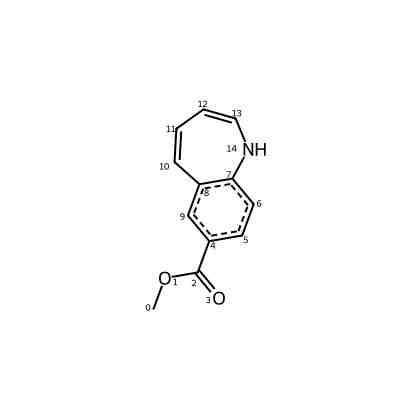 COC(=O)c1ccc2c(c1)C=CC=CN2